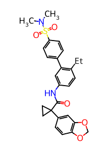 CCc1ccc(NC(=O)C2(c3ccc4c(c3)OCO4)CC2)cc1-c1ccc(S(=O)(=O)N(C)C)cc1